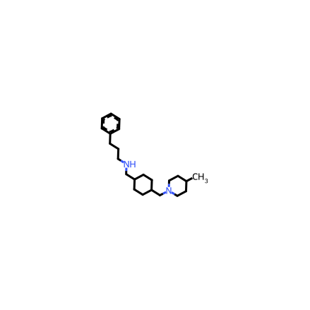 CC1CCN(CC2CCC(CNCCCc3ccccc3)CC2)CC1